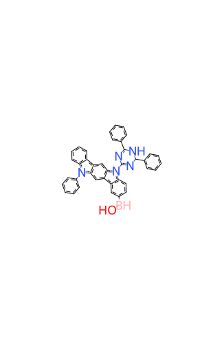 OBc1ccc2c(c1)c1cc3c(cc1n2C1=NC(c2ccccc2)NC(c2ccccc2)=N1)c1ccccc1n3-c1ccccc1